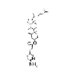 CC(C)CCCC(C)C1CCC2C3CC=C4CC(OC(=O)CCc5ccc(N)nc5)CCC4(C)C3CCC12C